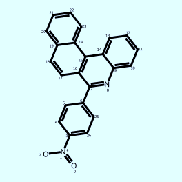 O=[N+]([O-])c1ccc(-c2nc3ccccc3c3c2ccc2ccccc23)cc1